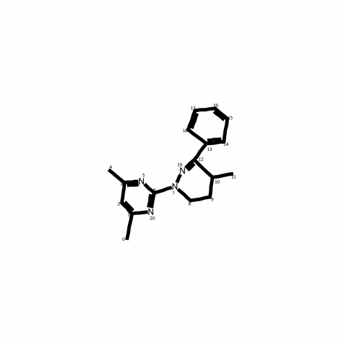 Cc1cc(C)nc(N2CCC(C)C(c3ccccc3)=N2)n1